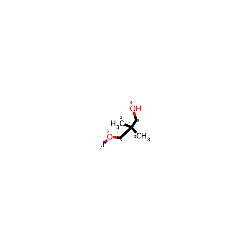 CC(C)(CO)COI